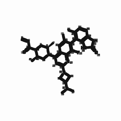 C=CC(=O)N1C[C@H](C)N(c2nc(N3CC(N(C)C)C3)nc3c(F)c(-c4c(C)ccc5[nH]c(=O)[nH]c45)c(C)cc23)C[C@H]1C